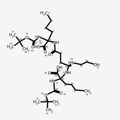 CCCCC(NC(=O)CCC(NC(CCCC)(NC(=O)OC(C)(C)C)C(=O)O)=[SH]CCO)(NC(=O)OC(C)(C)C)C(=O)O